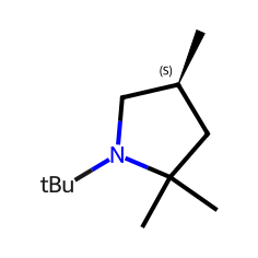 C[C@@H]1CN(C(C)(C)C)C(C)(C)C1